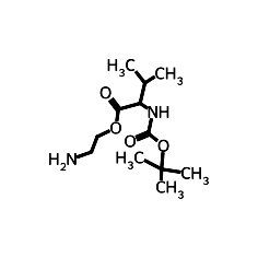 CC(C)C(NC(=O)OC(C)(C)C)C(=O)OCCN